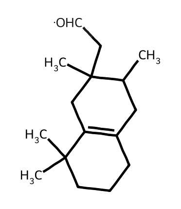 CC1CC2=C(CC1(C)C[C]=O)C(C)(C)CCC2